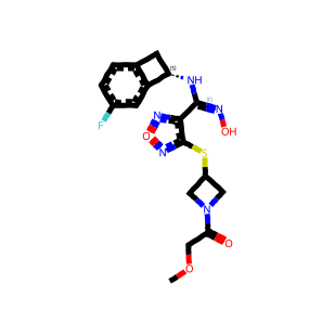 COCC(=O)N1CC(Sc2nonc2/C(=N\O)N[C@H]2Cc3ccc(F)cc32)C1